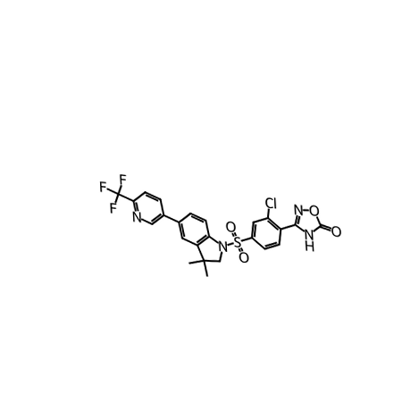 CC1(C)CN(S(=O)(=O)c2ccc(-c3noc(=O)[nH]3)c(Cl)c2)c2ccc(-c3ccc(C(F)(F)F)nc3)cc21